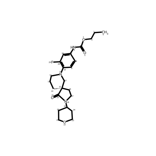 CCCOC(=O)Nc1ccc(N2CCC[C@@]3(CCN(C4CCOCC4)C3=O)C2)c(F)c1